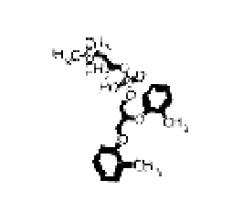 Cc1ccccc1OCC(COP(=O)(O)OCC[N+](C)(C)C)Oc1ccccc1C